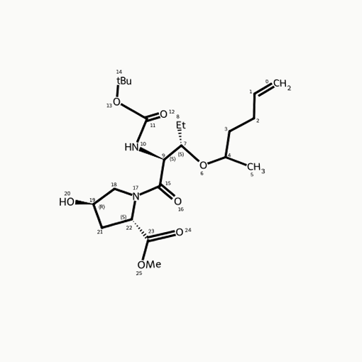 C=CCCC(C)O[C@@H](CC)[C@H](NC(=O)OC(C)(C)C)C(=O)N1C[C@H](O)C[C@H]1C(=O)OC